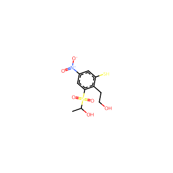 CC(O)S(=O)(=O)c1cc([N+](=O)[O-])cc(S)c1CCO